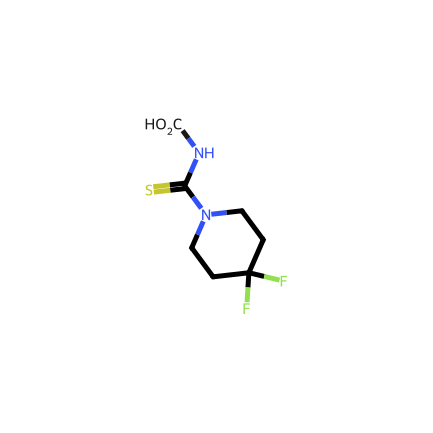 O=C(O)NC(=S)N1CCC(F)(F)CC1